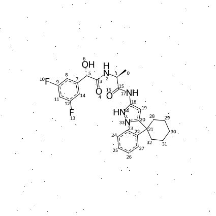 C[C@H](NC(=O)[C@@H](O)c1cc(F)cc(F)c1)C(=O)Nc1cc(C2(c3ccccc3)CCCCC2)n[nH]1